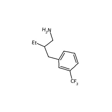 CCC(CN)Cc1cccc(C(F)(F)F)c1